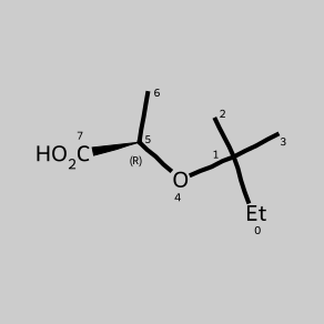 CCC(C)(C)O[C@H](C)C(=O)O